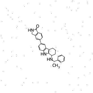 C[C@H](NC1CCCc2c1[nH]c1ccc(-c3ccc4c(c3)CNC4=O)cc21)c1ccccc1